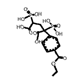 CCOC(=O)c1ccc(C(CC(C(=O)O)P(=O)(O)O)(C(=O)O)P(=O)(O)O)cc1